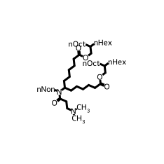 CCCCCCCCCN(C(=O)CCN(C)C)C(CCCCCC(=O)OCC(CCCCCC)CCCCCCCC)CCCCCC(=O)OCC(CCCCCC)CCCCCCCC